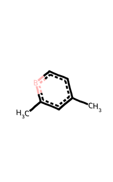 Cc1bccc(C)c1